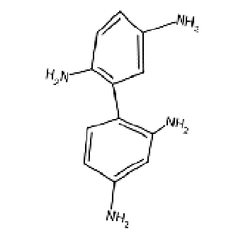 Nc1ccc(-c2cc(N)ccc2N)c(N)c1